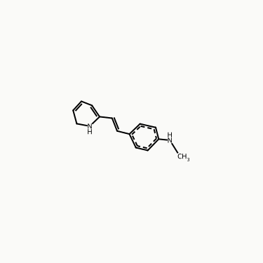 CNc1ccc(/C=C/C2=CC=CCN2)cc1